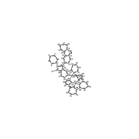 Cc1c(-c2ccccc2)n(-c2ccc3sc4ccccc4c3c2)c2c3c(ccc12)C1(c2ccccc2-3)c2ccccc2C2(c3ccccc3-c3ccccc32)c2ccccc21